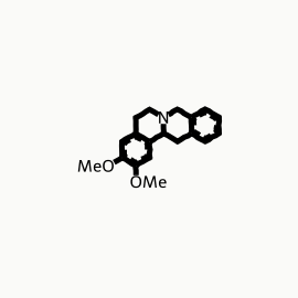 COc1cc2c(cc1OC)C1Cc3ccccc3CN1CC2